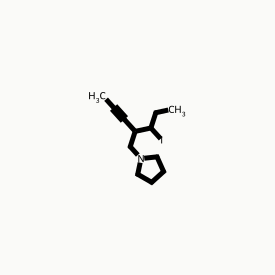 CC#CC(CN1CCCC1)C(I)CC